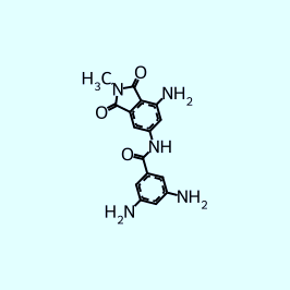 CN1C(=O)c2cc(NC(=O)c3cc(N)cc(N)c3)cc(N)c2C1=O